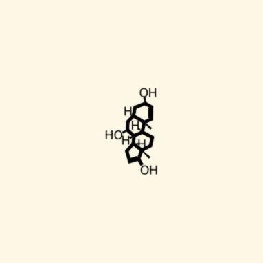 C[C@]12C=C[C@H](O)C[C@H]1C[C@H](O)[C@@H]1[C@@H]2CC[C@]2(C)C(O)=CC[C@@H]12